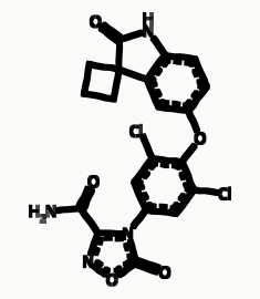 NC(=O)c1noc(=O)n1-c1cc(Cl)c(Oc2ccc3c(c2)C2(CCC2)C(=O)N3)c(Cl)c1